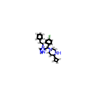 Fc1ccc(C(c2nncn2CCc2ccccc2)N2CCNC(C3CCC3)CC2)cc1